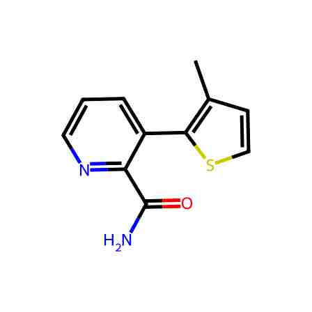 Cc1ccsc1-c1cccnc1C(N)=O